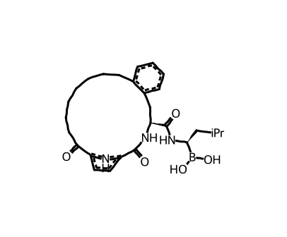 CC(C)C[C@H](NC(=O)[C@@H]1Cc2ccccc2CCCCCCCC(=O)c2ccc([nH]2)C(=O)N1)B(O)O